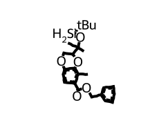 Cc1c(C(=O)OCc2ccccc2)ccc2c1OC(C(C)(C)O[SiH2]C(C)(C)C)CO2